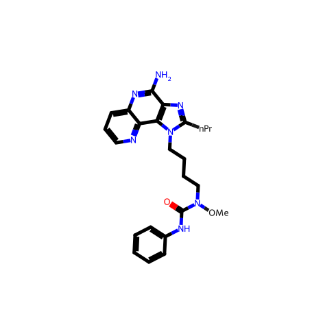 CCCc1nc2c(N)nc3cccnc3c2n1CCCCN(OC)C(=O)Nc1ccccc1